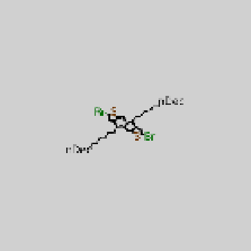 CCCCCCCCCCCCCCCCc1c2cc(Br)sc2cc2c(CCCCCCCCCCCCCCCC)c3cc(Br)sc3cc12